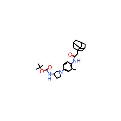 Cc1cc(N2CCC(NC(=O)OC(C)(C)C)C2)ccc1NC(=O)CC12CC3CC(CC(C3)C1)C2